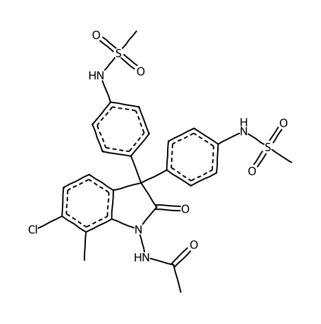 CC(=O)NN1C(=O)C(c2ccc(NS(C)(=O)=O)cc2)(c2ccc(NS(C)(=O)=O)cc2)c2ccc(Cl)c(C)c21